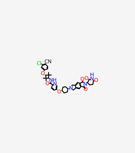 CC1(C)[C@H](NC(=O)c2ccc(O[C@H]3CC[C@H](N4Cc5cc6c(cc5C4)C(=O)N(C4CCC(=O)NC4=O)C6=O)CC3)cn2)C(C)(C)[C@H]1Oc1ccc(C#N)c(Cl)c1